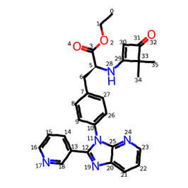 CCOC(=O)[C@H](Cc1ccc(-n2c(-c3cccnc3)nc3cccnc32)cc1)NC1=CC(=O)C1(C)C